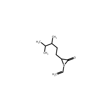 C=CN1C(=O)C1CCC(C)C(C)C